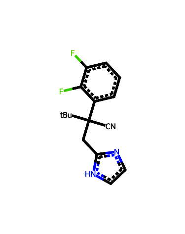 CC(C)(C)C(C#N)(Cc1ncc[nH]1)c1cccc(F)c1F